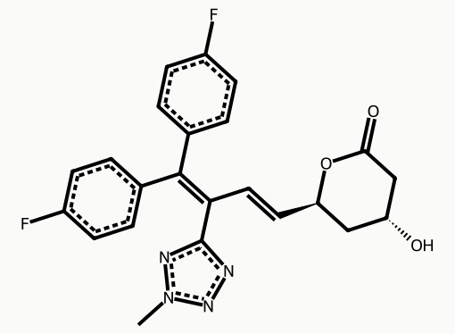 Cn1nnc(C(/C=C/[C@@H]2C[C@@H](O)CC(=O)O2)=C(c2ccc(F)cc2)c2ccc(F)cc2)n1